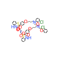 CN(CCCCOc1ccc(C2(OC(=O)/C=C/C(=O)OC3(c4ccc(OCCCCN(C)CCOc5ccccc5Cl)cc4)Sc4ccccc4NC3=O)Sc3ccccc3NC2=O)cc1)CCOc1ccccc1Cl